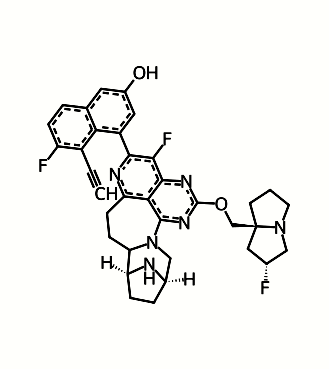 C#Cc1c(F)ccc2cc(O)cc(-c3nc4c5c(nc(OC[C@@]67CCCN6C[C@H](F)C7)nc5c3F)N3C[C@H]5CC[C@H](N5)C3CC4)c12